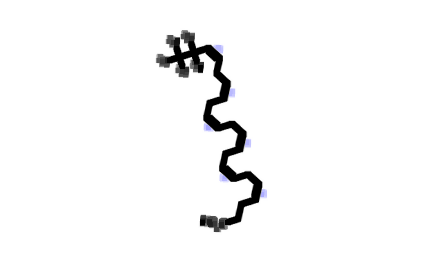 [2H]C([2H])([2H])C([2H])([2H])/C=C\C/C=C\C/C=C\C/C=C\C/C=C\C/C=C\CCC(=O)O